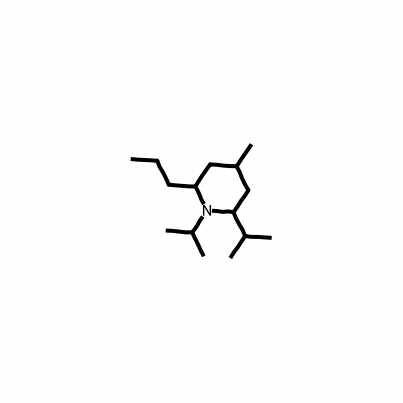 CCCC1CC(C)CC(C(C)C)N1C(C)C